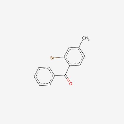 Cc1ccc(C(=O)c2ccccc2)c(Br)c1